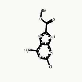 CC(C)(C)OC(=O)c1nc2c(N)nc(Cl)nc2[nH]1